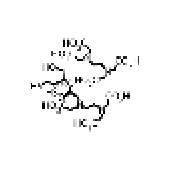 O=C(O)CN(CCN(CC(=O)O)CC(=O)O)CC(=O)O.O=C(O)CN(CCN(CC(=O)O)CC(=O)O[C@H](CO)[C@H](S)CS)CC(=O)O